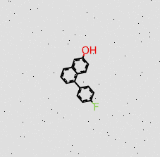 Oc1ccc2c(-c3ccc(F)cc3)cccc2c1